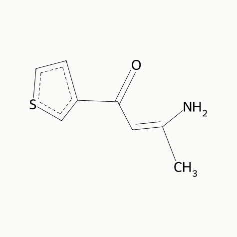 CC(N)=CC(=O)c1ccsc1